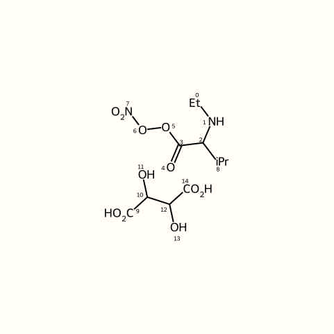 CCNC(C(=O)OO[N+](=O)[O-])C(C)C.O=C(O)C(O)C(O)C(=O)O